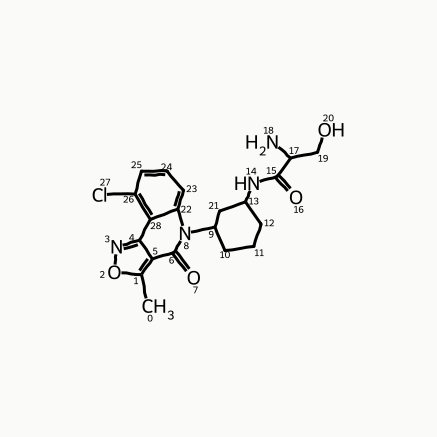 Cc1onc2c1c(=O)n(C1CCCC(NC(=O)C(N)CO)C1)c1cccc(Cl)c21